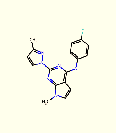 Cc1ccn(-c2nc(Nc3ccc(F)cc3)c3ccn(C)c3n2)n1